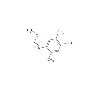 CO/C=N\c1cc(C)c(O)cc1C